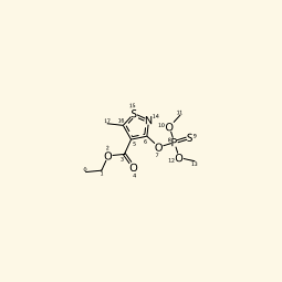 CCOC(=O)c1c(OP(=S)(OC)OC)nsc1C